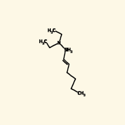 CCCCC=C[SiH2]N(CC)CC